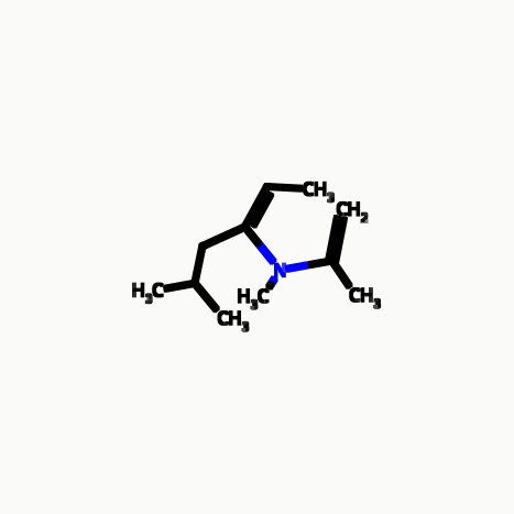 C=C(C)N(C)/C(=C\C)CC(C)C